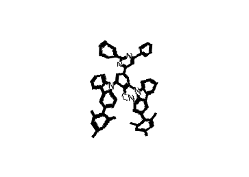 Cc1cc(C)c(-c2ccc3c(c2)c2ccccc2n3-c2cc(-c3cc(-c4ccccc4)nc(-c4ccccc4)n3)cc(-n3c4ccccc4c4cc(-c5c(C)cc(C)cc5C)ccc43)c2C#N)c(C)c1